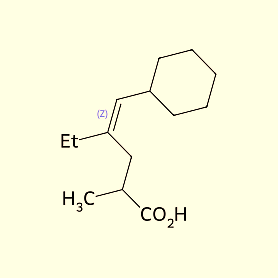 CC/C(=C/C1CCCCC1)CC(C)C(=O)O